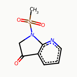 CS(=O)(=O)N1CC(=O)c2cccnc21